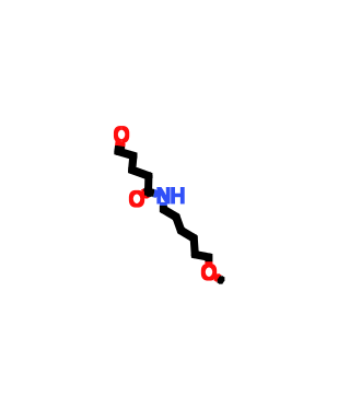 COCCCCCCNC(=O)CCCC=O